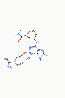 Cc1nc2c(Oc3cccc(C(=O)N(C)C)c3)nc(Oc3cc(C(=N)N)ccc3Cl)nc2[nH]1